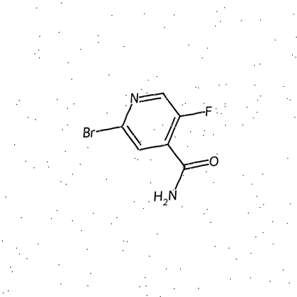 NC(=O)c1cc(Br)ncc1F